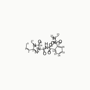 C/C=C\c1nn(C(=O)NS(=O)(=O)c2ccccc2S(=O)(=O)N(C)C)c(=O)n1C